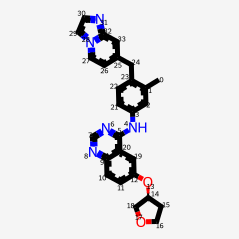 Cc1cc(Nc2ncnc3ccc(O[C@H]4CCOC4)cc23)ccc1Cc1ccn2ccnc2c1